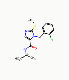 CCCSc1ncc(C(=O)N[C@@H](C)C(=O)O)n1Cc1ccccc1Cl